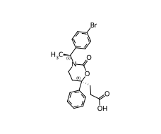 C[C@@H](c1ccc(Br)cc1)N1CC[C@](CCC(=O)O)(c2ccccc2)OC1=O